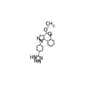 CCOC(=O)c1cnn(-c2ccc(-c3nnn[nH]3)cc2)c1-c1ccccc1F